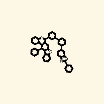 c1ccc(-c2nc3ccc(-c4cccc(-c5cccc(-c6nc7ccccc7c7c(-c8ccccc8)c8c(cc67)oc6ccccc68)c5)c4)cc3s2)cc1